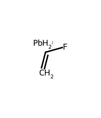 C=CF.[PbH2]